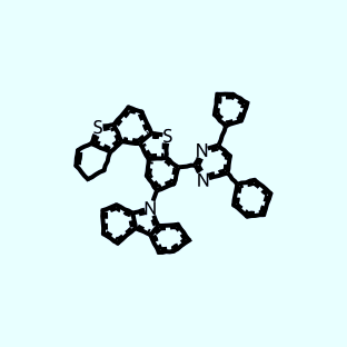 C1=Cc2sc3ccc4sc5c(-c6nc(-c7ccccc7)cc(-c7ccccc7)n6)cc(-n6c7ccccc7c7ccccc76)cc5c4c3c2CC1